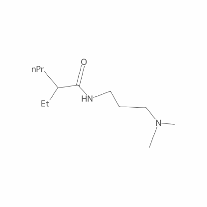 CCCC(CC)C(=O)NCCCN(C)C